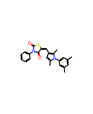 Cc1cc(C)cc(-n2c(C)cc(/C=C3/SC(=O)N(c4ccccc4)C3=O)c2C)c1